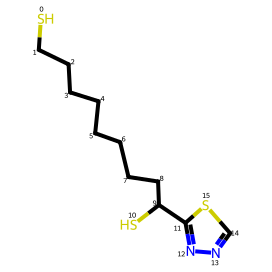 SCCCCCCCCC(S)c1nncs1